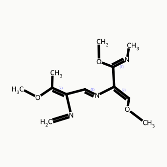 C=NC(/C=N/C(=C\OC)C(=N/C)/OC)=C(/C)OC